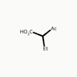 [CH2]CC(C(C)=O)C(=O)O